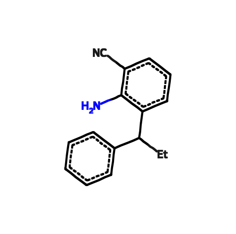 CCC(c1ccccc1)c1cccc(C#N)c1N